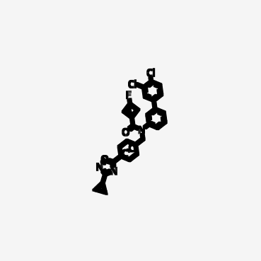 O=C(N(CC12CCC(c3nc(C4CC4)no3)(CC1)CC2)c1cccc(-c2ccc(Cl)c(Cl)c2)c1)C12CC(F)(C1)C2